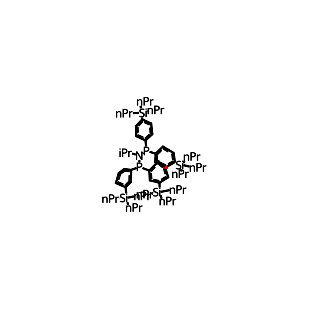 CCC[Si](CCC)(CCC)c1ccc(P(c2ccc([Si](CCC)(CCC)CCC)cc2)N(C(C)C)P(c2cccc([Si](CCC)(CCC)CCC)c2)c2cccc([Si](CCC)(CCC)CCC)c2)cc1